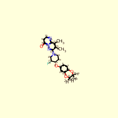 [2H]C1([2H])Oc2ccc(O[C@H]3CCN(c4nn5c(=O)ccnc5c(C)c4C)C[C@@H]3F)cc2OC1([2H])[2H]